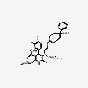 COCC1=C(C(=O)OC)C(c2ccc(F)c(F)c2)N(N(C=O)CCCN2CCC(O)(c3ccccn3)CC2)C(=O)N1.Cl.Cl